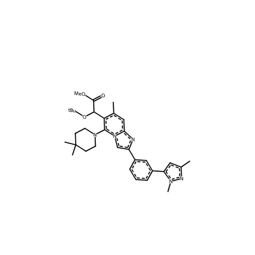 COC(=O)C(OC(C)(C)C)c1c(C)cc2nc(-c3cccc(-c4cc(C)nn4C)c3)cn2c1N1CCC(C)(C)CC1